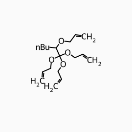 C=CCOC(CCCC)C(OCC=C)(OCC=C)OCC=C